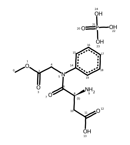 COC(=O)CN(C(=O)[C@@H](N)CC(=O)O)c1ccccc1.O=P(O)(O)O